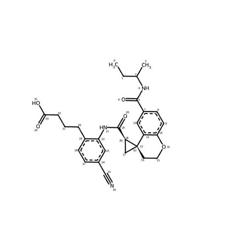 CCC(C)NC(=O)c1ccc2c(c1)[C@]1(CCO2)C[C@H]1C(=O)Nc1cc(C#N)ccc1CCCC(=O)O